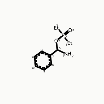 CCP(=O)(CC)OC(N)c1ccccc1